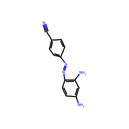 N#Cc1ccc(N=Nc2ccc(N)cc2N)cc1